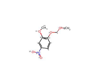 COCOc1ccc([N+](=O)[O-])cc1OC